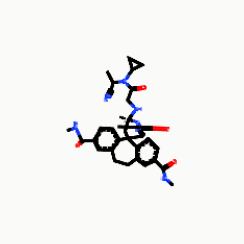 CNC(=O)c1ccc2c(c1)CCc1cc(C(=O)NC)ccc1C21C[C@@](C)(NCC(=O)N(C(C)C#N)C2CC2)n2oc(=O)nc21